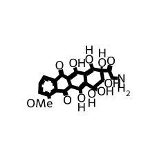 COc1cccc2c1C(=O)C1C(O)=C3C(=C(O)[C@](O)(C(=O)CN)C(O)C3(O)O)C(O)=C1C2=O